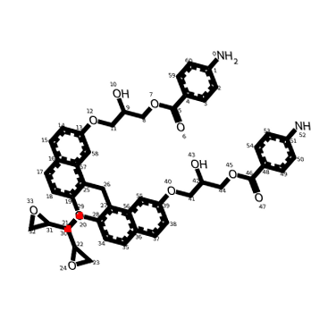 Nc1ccc(C(=O)OCC(O)COc2ccc3ccc(OCC4CO4)c(Cc4c(OCC5CO5)ccc5ccc(OCC(O)COC(=O)c6ccc(N)cc6)cc45)c3c2)cc1